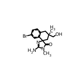 CN1C(=O)C2(C[C@@](C)(CO)Cc3ccc(Br)cc32)N=C1N